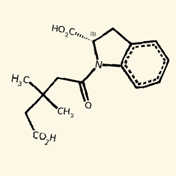 CC(C)(CC(=O)O)CC(=O)N1c2ccccc2C[C@H]1C(=O)O